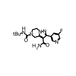 CC(C)(C)NC(=O)N1CCn2nc(-c3cncc(F)c3)c(C(N)=O)c2C1